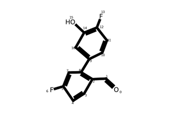 O=Cc1ccc(F)cc1-c1ccc(F)c(O)c1